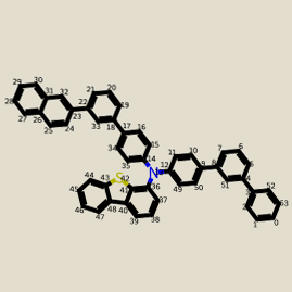 c1ccc(-c2cccc(-c3ccc(N(c4ccc(-c5cccc(-c6ccc7ccccc7c6)c5)cc4)c4cccc5c4sc4ccccc45)cc3)c2)cc1